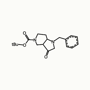 CC(C)(C)OC(=O)N1CCC2C(C1)C(=O)CN2Cc1ccccc1